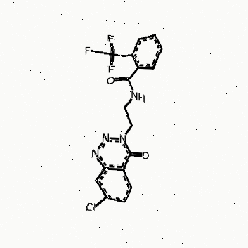 O=C(NCCn1nnc2cc(Cl)ccc2c1=O)c1ccccc1C(F)(F)F